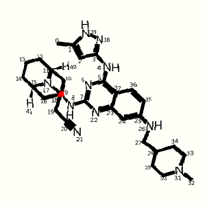 Cc1cc(Nc2nc(N[C@@H]3C[C@H]4CCC[C@@H](C3)N4CCC#N)nc3cc(NCC4CCN(C)CC4)ccc23)n[nH]1